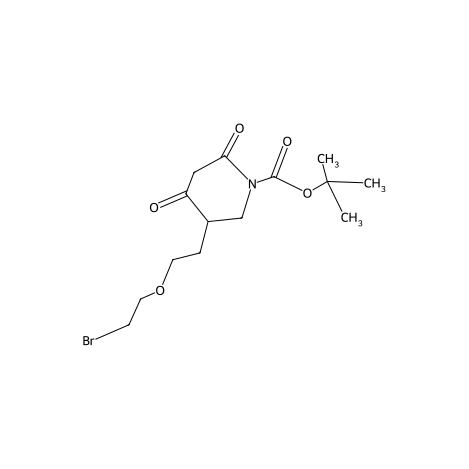 CC(C)(C)OC(=O)N1CC(CCOCCBr)C(=O)CC1=O